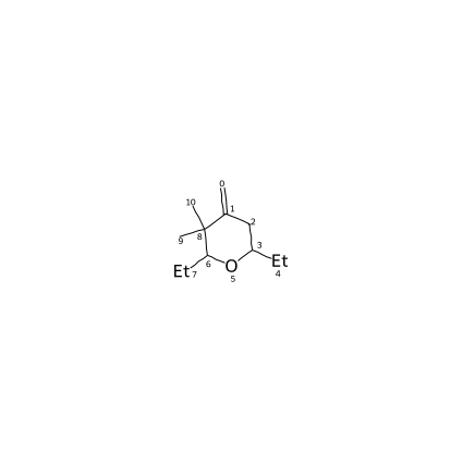 C=C1CC(CC)OC(CC)C1(C)C